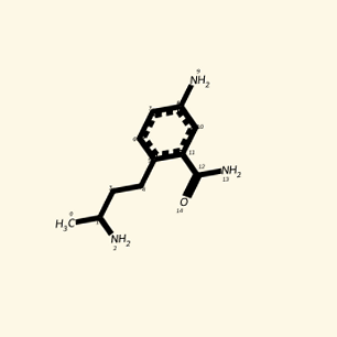 CC(N)CCc1ccc(N)cc1C(N)=O